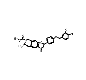 CC(C)(C)OC(=O)N1Cc2cc3c(cc2CC1C(=O)O)NCC(c1ccc(OCc2ccc(Cl)c(Cl)c2)cc1)O3